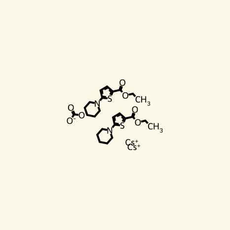 CCOC(=O)c1ccc(N2CCCCC2)s1.CCOC(=O)c1ccc(N2CCCCC2)s1.O=C([O-])[O-].[Cs+].[Cs+]